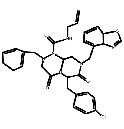 C=CCNC(=O)N1C2CN(CC3=CC=CC4SC=NC34)C(=O)C(Cc3ccc(O)cc3)N2C(=O)CN1CC1=CCCC=C1